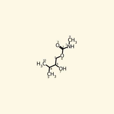 CNC(=O)OCC(O)C(C)C